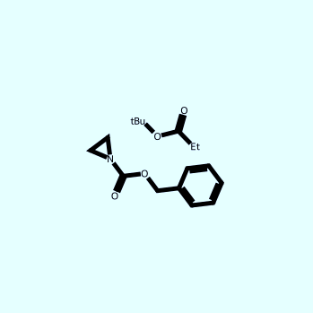 CCC(=O)OC(C)(C)C.O=C(OCc1ccccc1)N1CC1